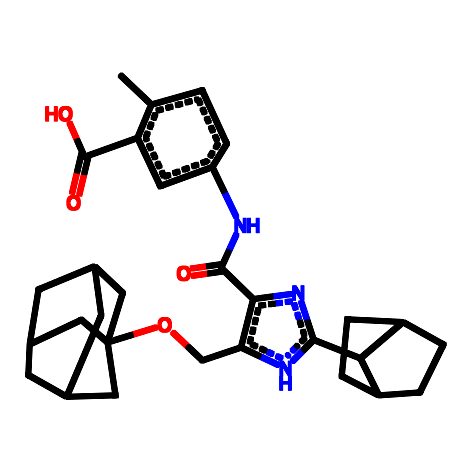 Cc1ccc(NC(=O)c2nc(C3C4CCC3CC4)[nH]c2COC23CC4CC(CC(C4)C2)C3)cc1C(=O)O